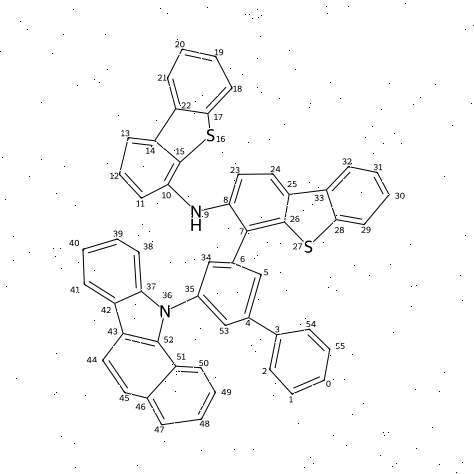 c1ccc(-c2cc(-c3c(Nc4cccc5c4sc4ccccc45)ccc4c3sc3ccccc34)cc(-n3c4ccccc4c4ccc5ccccc5c43)c2)cc1